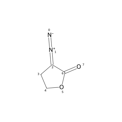 [N-]=[N+]=C1CCOC1=O